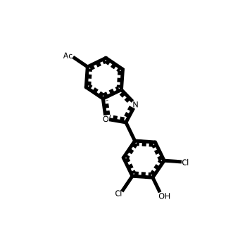 CC(=O)c1ccc2nc(-c3cc(Cl)c(O)c(Cl)c3)oc2c1